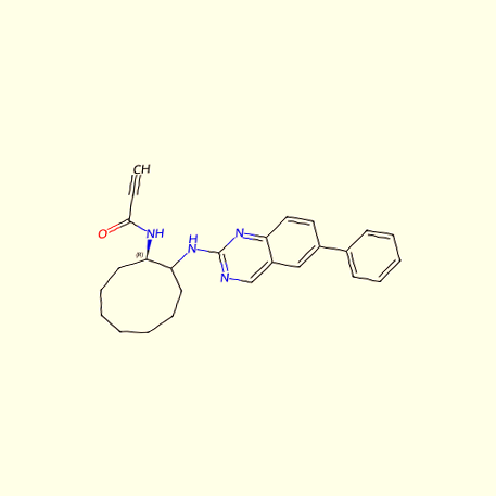 C#CC(=O)N[C@@H]1CCCCCCCC1Nc1ncc2cc(-c3ccccc3)ccc2n1